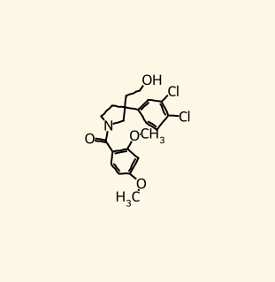 COc1ccc(C(=O)N2CCC(CCO)(c3ccc(Cl)c(Cl)c3)C2)c(OC)c1